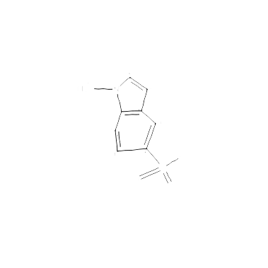 C=S(=O)(Cl)c1ccc2c(ccn2C)c1